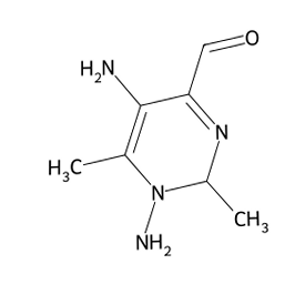 CC1=C(N)C(C=O)=NC(C)N1N